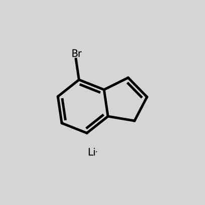 Brc1cccc2c1C=CC2.[Li]